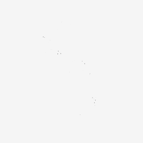 C[C@H](C(=O)NCc1ccc(OC2CCN(CC3CC3)CC2)nc1)c1ccccc1